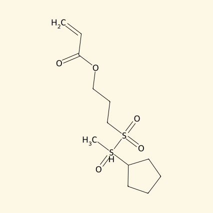 C=CC(=O)OCCCS(=O)(=O)[SH](C)(=O)C1CCCC1